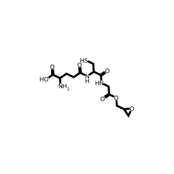 NC(CCC(=O)NC(CS)C(=O)NCC(=O)OCC1CO1)C(=O)O